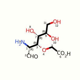 N[C@@H](C=O)[C@@H](OCC(=O)O)[C@H](O)[C@H](O)CO